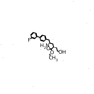 CCOC(=O)[C@H](CCO)C[C@H](N)Cc1ccc(-c2cccc(F)c2)cc1